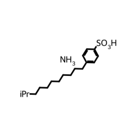 CC(C)CCCCCCCCCc1ccc(S(=O)(=O)O)cc1.N